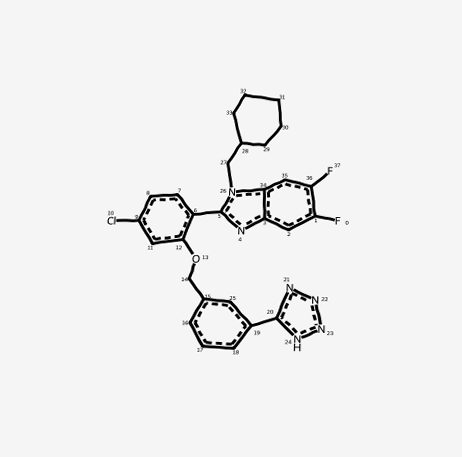 Fc1cc2nc(-c3ccc(Cl)cc3OCc3cccc(-c4nnn[nH]4)c3)n(CC3CCCCC3)c2cc1F